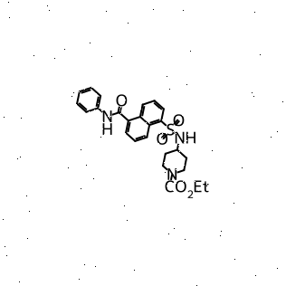 CCOC(=O)N1CCC(NS(=O)(=O)c2cccc3c(C(=O)Nc4ccccc4)cccc23)CC1